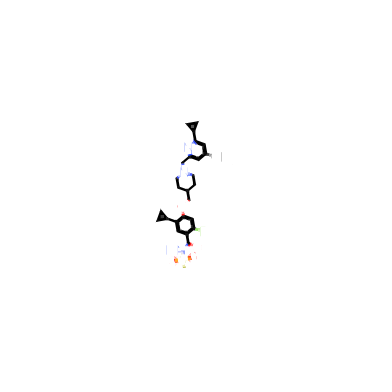 CS(=O)(=O)NC(=O)c1cc(C2CC2)c(OCC2CCN(Cc3cc(C(F)(F)F)cc(C4CC4)n3)CC2)cc1F